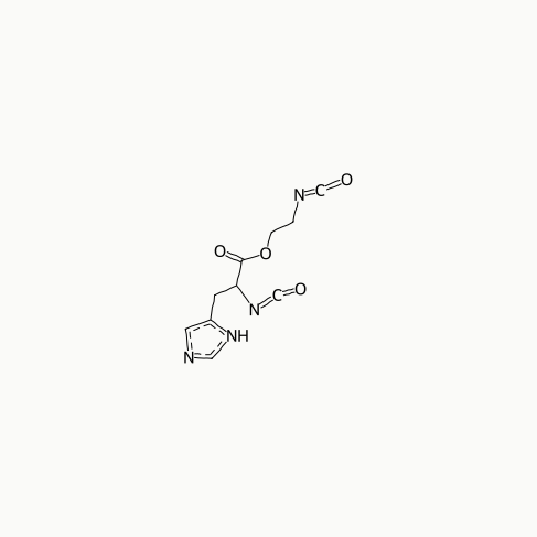 O=C=NCCOC(=O)C(Cc1cnc[nH]1)N=C=O